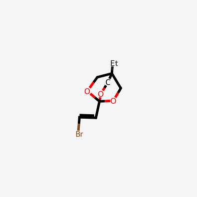 CCC12COC(C=CBr)(OC1)OC2